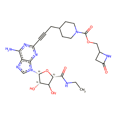 CCNC(=O)[C@H]1O[C@@H](n2cnc3c(N)nc(C#CCC4CCN(C(=O)OCC5CC(=O)N5)CC4)nc32)[C@@H](O)C1O